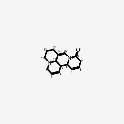 O=C1CC=CC2C3C=CCN4CCCC(=CN12)C34